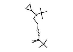 CC(C)(C)C(=O)COCCN(C1CC1)C(C)(C)C